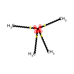 CCCCCCCCCCCCCCCCSCCCC(=O)OCC(COC(=O)CCCSCCCCCCCCCCCCCCCC)(COC(=O)CCCSCCCCCCCCCCCCCCCC)COC(=O)CCCSCCCCCCCCCCCCCCCC